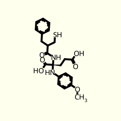 COc1ccc(N[C@@](CCC(=O)O)(NC(=O)C(CS)Cc2ccccc2)C(=O)O)cc1